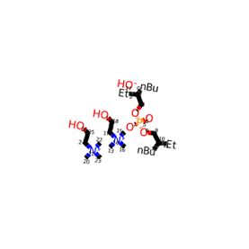 CCCCC(CC)COP(=O)([O-])OCC(CC)CCCC.C[N+](C)(C)CCO.C[N+](C)(C)CCO.[OH-]